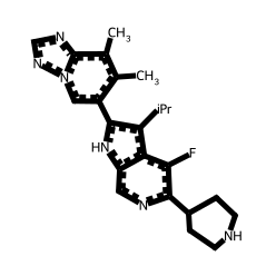 Cc1c(-c2[nH]c3cnc(C4CCNCC4)c(F)c3c2C(C)C)cn2ncnc2c1C